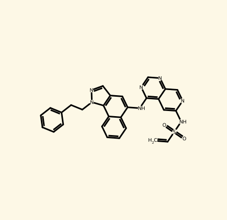 C=CS(=O)(=O)Nc1cc2c(Nc3cc4cnn(CCc5ccccc5)c4c4ccccc34)ncnc2cn1